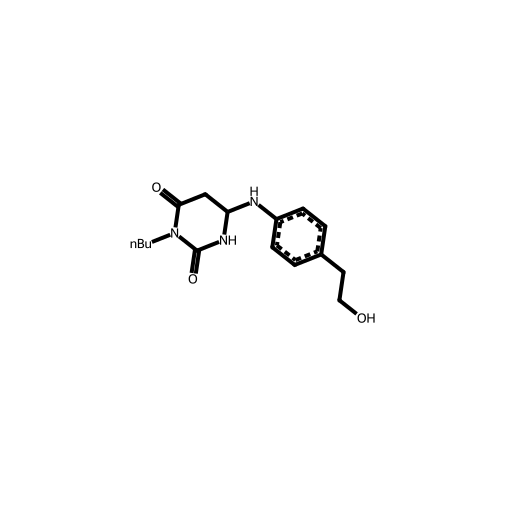 CCCCN1C(=O)CC(Nc2ccc(CCO)cc2)NC1=O